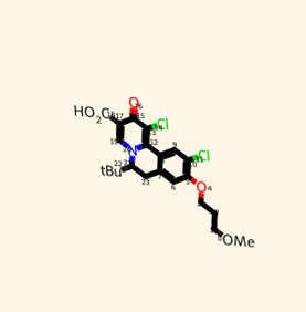 COCCCOc1cc2c(cc1Cl)-c1c(Cl)c(=O)c(C(=O)O)cn1C(C(C)(C)C)C2